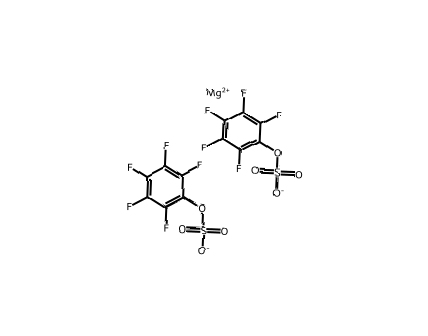 O=S(=O)([O-])Oc1c(F)c(F)c(F)c(F)c1F.O=S(=O)([O-])Oc1c(F)c(F)c(F)c(F)c1F.[Mg+2]